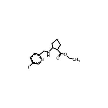 CCOC(=O)C1CCCC1NCc1ccc(F)cn1